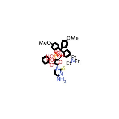 CCN(CC)CC.COc1ccc(C(OC[C@H]2O[C@@H](n3ccc(N)nc3=S)C(Oc3ccccc3)C2(O)P(=O)(O)O)(c2ccccc2)c2ccc(OC)cc2)cc1